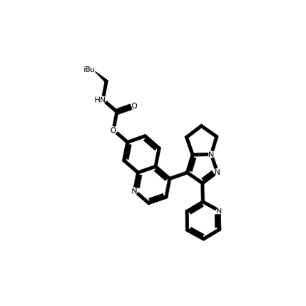 CC[C@H](C)CNC(=O)Oc1ccc2c(-c3c(-c4ccccn4)nn4c3CCC4)ccnc2c1